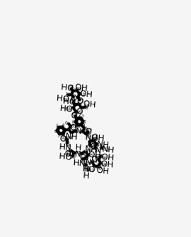 CCC(c1ccccc1)C1NC(=O)CNC(=O)C(CO)NC(=O)C(C(O)C2CNC(=N)N2C2OC(CO)C(O)C(O)C2O)NC(=O)C(C(O)C2CNC(=N)N2)NC(=O)C(Cc2ccc(OC3OC(CO)C(OC4OC(CO)C(O)C(O)C4O)C(O)C3O)cc2)NC1=O